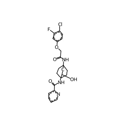 O=C(COc1ccc(Cl)c(F)c1)NC12CCC(NC(=O)c3ccccn3)(CC1)C(O)C2